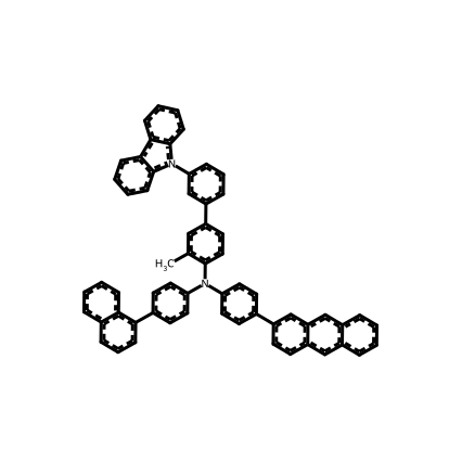 Cc1cc(-c2cccc(-n3c4ccccc4c4ccccc43)c2)ccc1N(c1ccc(-c2ccc3cc4ccccc4cc3c2)cc1)c1ccc(-c2cccc3ccccc23)cc1